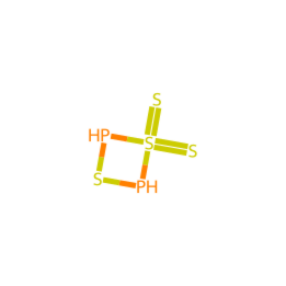 S=S1(=S)PSP1